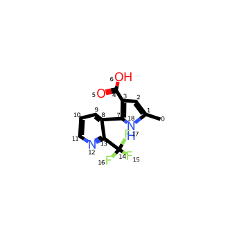 Cc1cc(C(=O)O)c(-c2cccnc2C(F)(F)F)[nH]1